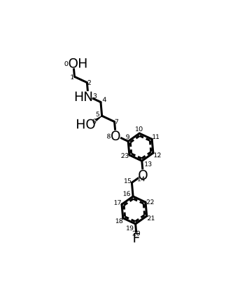 OCCNC[C@H](O)COc1cccc(OCc2ccc(F)cc2)c1